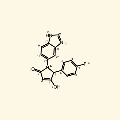 O=C1[C]=C(O)C(c2ccc(F)cc2)N1c1ccc2[nH]cnc2c1